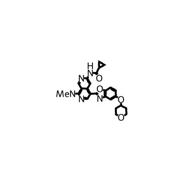 CNc1ncc(-c2nc3cc(OC4CCOCC4)ccc3o2)c2cc(NC(=O)C3CC3)ncc12